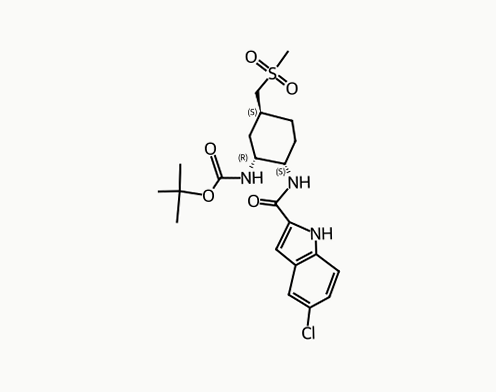 CC(C)(C)OC(=O)N[C@@H]1C[C@@H](CS(C)(=O)=O)CC[C@@H]1NC(=O)c1cc2cc(Cl)ccc2[nH]1